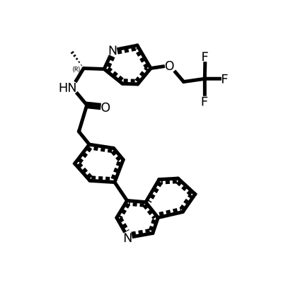 C[C@@H](NC(=O)Cc1ccc(-c2cncc3ccccc23)cc1)c1ccc(OCC(F)(F)F)cn1